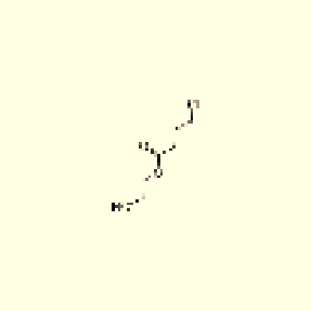 O=C(C=CCCl)OC=CO